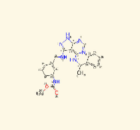 CC(Nc1ncnc2[nH]nc(NCc3cccc(NC(=O)OC(C)(C)C)c3)c12)c1ccccc1